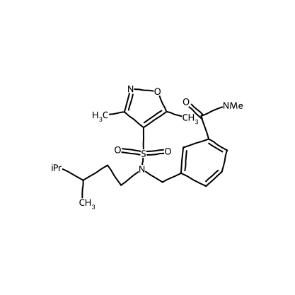 CNC(=O)c1cccc(CN(CCC(C)C(C)C)S(=O)(=O)c2c(C)noc2C)c1